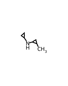 CC1CC1NC1CC1